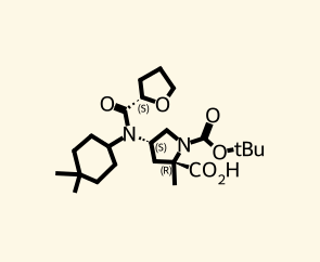 CC1(C)CCC(N(C(=O)[C@@H]2CCCO2)[C@@H]2CN(C(=O)OC(C)(C)C)[C@@](C)(C(=O)O)C2)CC1